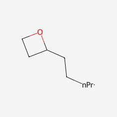 CC[CH]CCC1CCO1